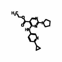 CCOC(=O)c1cnc(N2CCCC2)nc1Nc1ccc(C2CC2)nc1